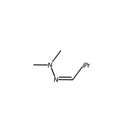 CC(C)/C=N\N(C)C